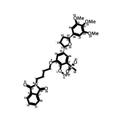 CCCOc1c(OCCCCN2C(=O)c3ccccc3C2=O)cc([C@@H]2CC[C@@H](c3cc(OC)c(OC)c(OC)c3)O2)cc1S(C)(=O)=O